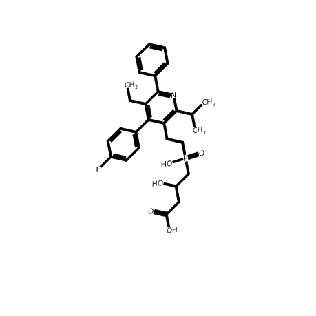 CCc1c(-c2ccccc2)nc(C(C)C)c(CCP(=O)(O)CC(O)CC(=O)O)c1-c1ccc(F)cc1